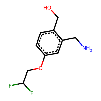 NCc1cc(OCC(F)F)ccc1CO